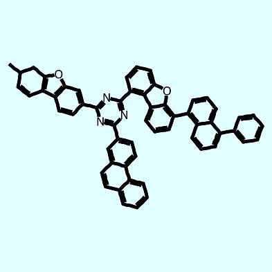 CC1C=Cc2c(oc3cc(-c4nc(-c5ccc6c(ccc7ccccc76)c5)nc(-c5cccc6oc7c(-c8cccc9c(-c%10ccccc%10)cccc89)cccc7c56)n4)ccc23)C1